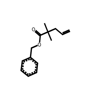 C=CCC(C)(C)C(=O)OCc1ccccc1